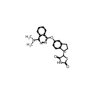 CN(C)c1nnc(Oc2ccc3c(c2)CC[C@H]3C2SC(=O)NC2=O)c2ccccc12